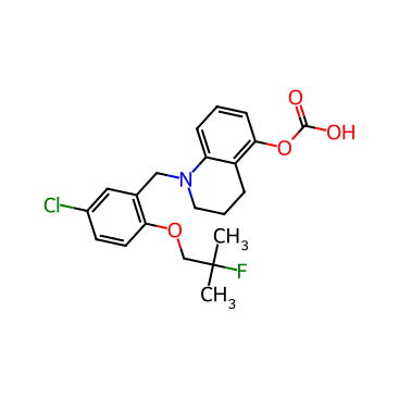 CC(C)(F)COc1ccc(Cl)cc1CN1CCCc2c(OC(=O)O)cccc21